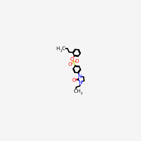 CCCc1ccccc1OS(=O)(=O)c1ccc(N2CCN(CCC)C2=O)cc1